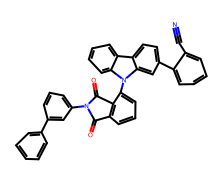 N#Cc1ccccc1-c1ccc2c3ccccc3n(-c3cccc4c3C(=O)N(c3cccc(-c5ccccc5)c3)C4=O)c2c1